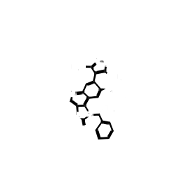 COc1cc2c(cc1-c1c(C)noc1C)ncc1[nH]c(=O)n([C@H](C)c3ccccc3)c12